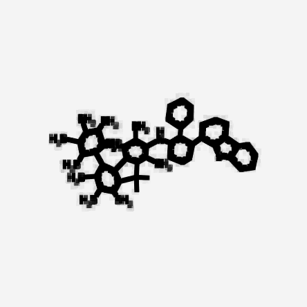 Bc1c(B)c(B)c(-c2c(B)c(B)c(B)c3c2-c2c(B)c(B)c(Nc4cccc(-c5cccc6c5sc5ccccc56)c4-c4ccccc4)c(B)c2C3(C)C)c(B)c1B